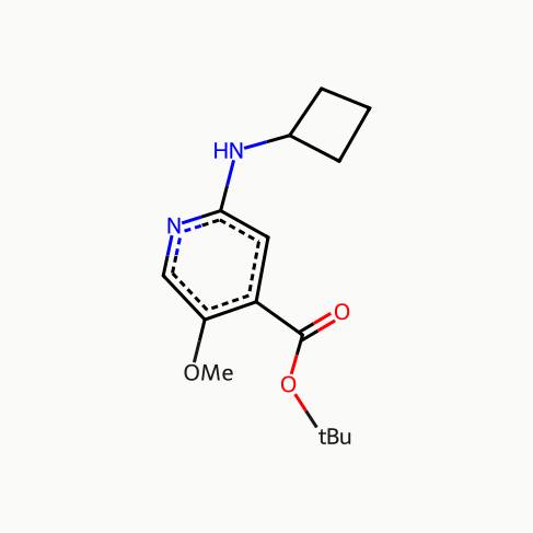 COc1cnc(NC2CCC2)cc1C(=O)OC(C)(C)C